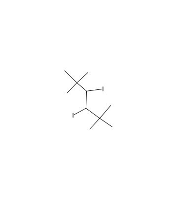 CC(C)(C)C(I)C(I)C(C)(C)C